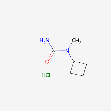 CN(C(N)=O)C1CCC1.Cl